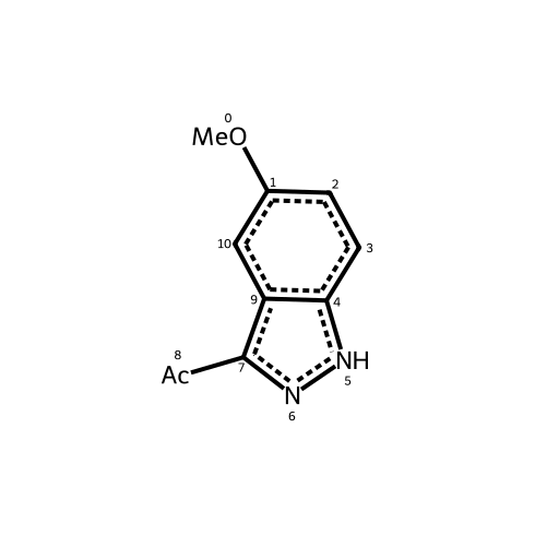 COc1ccc2[nH]nc(C(C)=O)c2c1